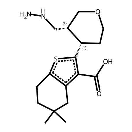 CC1(C)CCc2sc([C@H]3CCOC[C@H]3CNN)c(C(=O)O)c2C1